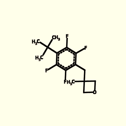 CC1(Cc2c(F)c(F)c(C(C)(C)C)c(F)c2F)COC1